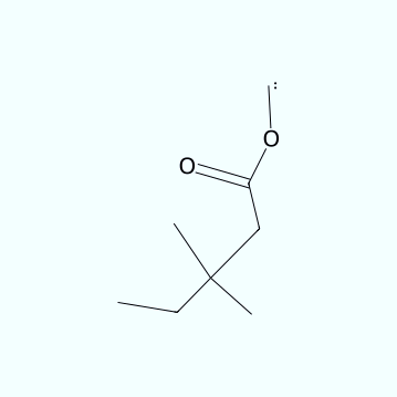 [CH]OC(=O)CC(C)(C)CC